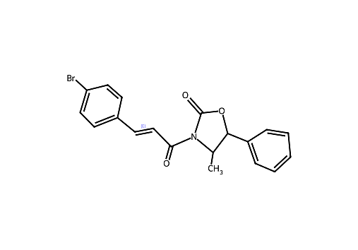 CC1C(c2ccccc2)OC(=O)N1C(=O)/C=C/c1ccc(Br)cc1